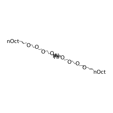 CCCCCCCCC=CCOCCOCCOCCOP=NPOCCOCCOCCOCC=CCCCCCCCC